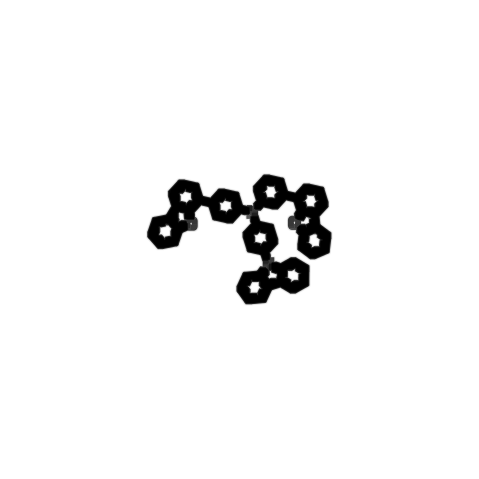 c1cc(-c2cccc3c2oc2ccccc23)cc(N(c2ccc(-c3cccc4c3oc3ccccc34)cc2)c2ccc(-n3c4ccccc4c4ccccc43)cc2)c1